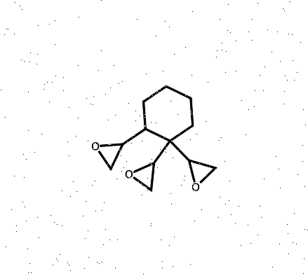 C1CCC(C2CO2)(C2CO2)C(C2CO2)C1